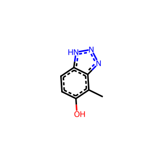 Cc1c(O)ccc2[nH]nnc12